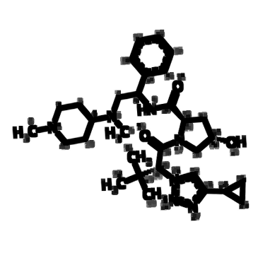 CN1CCC(N(C)CC(NC(=O)[C@H]2C[C@H](O)CN2C(=O)[C@H](n2cc(C3CC3)nn2)C(C)(C)C)c2ccccc2)CC1